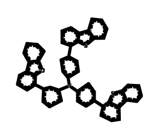 c1cc(-c2cccc3c2oc2ccccc23)cc(N(c2ccc(-c3cccc4c3sc3ccccc34)cc2)c2ccc(-c3cccc4c3sc3ccccc34)cc2)c1